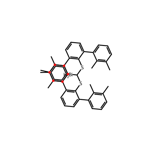 Cc1cccc(-c2cccc(-c3cccc(C)c3C)c2S[CH]([BiH2])Sc2c(-c3cccc(C)c3C)cccc2-c2cccc(C)c2C)c1C